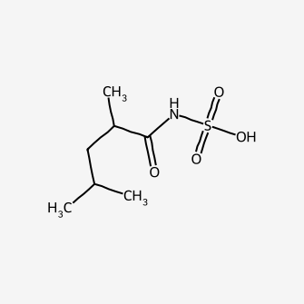 CC(C)CC(C)C(=O)NS(=O)(=O)O